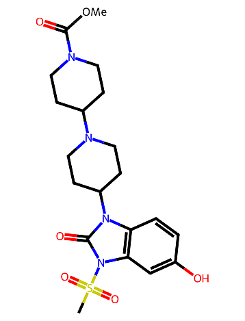 COC(=O)N1CCC(N2CCC(n3c(=O)n(S(C)(=O)=O)c4cc(O)ccc43)CC2)CC1